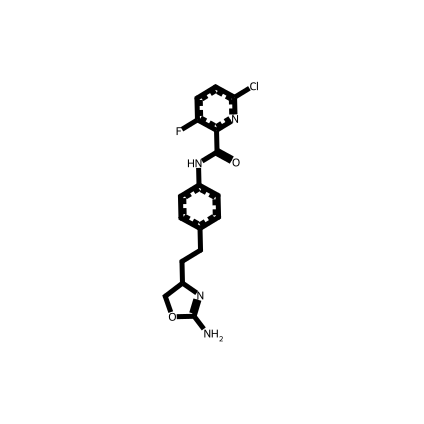 NC1=NC(CCc2ccc(NC(=O)c3nc(Cl)ccc3F)cc2)CO1